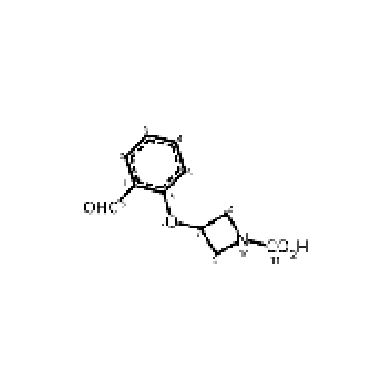 O=Cc1ccccc1OC1CN(C(=O)O)C1